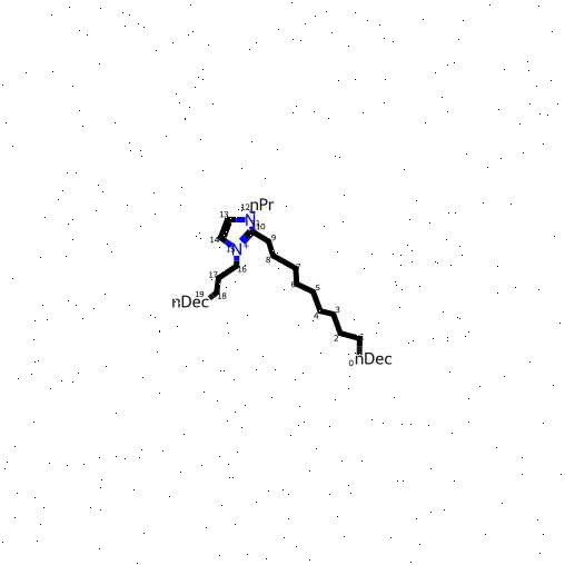 CCCCCCCCCCCCCCCCCCCc1n(CCC)cc[n+]1CCCCCCCCCCCCC